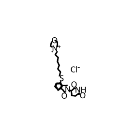 C[N+]1(CCCCCCCCSc2cccc3c2CN(C2CCC(=O)NC2=O)C3=O)CCOCC1.[Cl-]